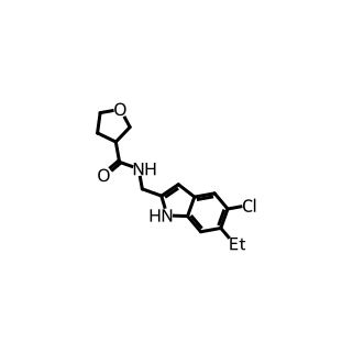 CCc1cc2[nH]c(CNC(=O)C3CCOC3)cc2cc1Cl